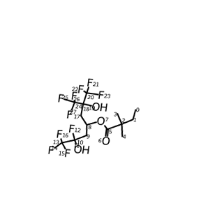 CCC(C)(C)C(=O)OC(CC(O)(F)C(F)(F)F)CC(O)(C(F)(F)F)C(F)(F)F